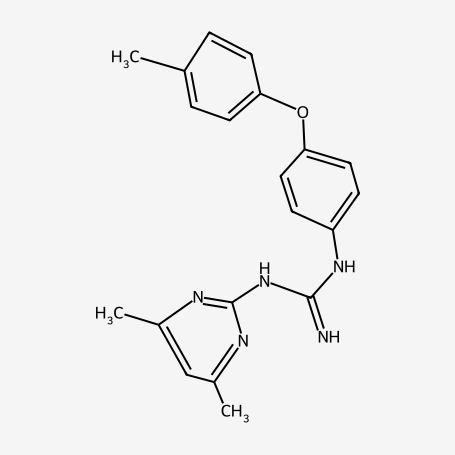 Cc1ccc(Oc2ccc(NC(=N)Nc3nc(C)cc(C)n3)cc2)cc1